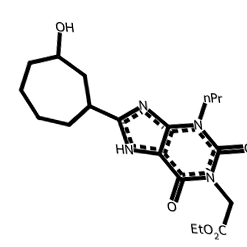 CCCn1c(=O)n(CC(=O)OCC)c(=O)c2[nH]c(C3CCCCC(O)C3)nc21